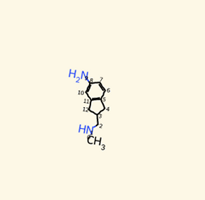 CNCC1Cc2ccc(N)cc2C1